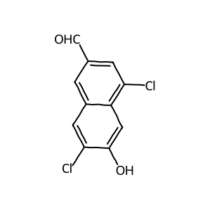 O=Cc1cc(Cl)c2cc(O)c(Cl)cc2c1